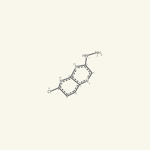 NNc1cnc2ccc(Cl)nc2n1